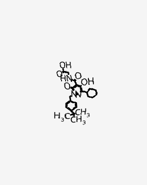 CC(C)(C)c1ccc(Cn2nc(C3CCCCC3)c(O)c(C(=O)NCC(=O)O)c2=O)cc1